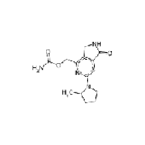 CC1CCCN1c1cc2c(c(COC(N)=O)n1)CNC2=O